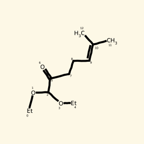 CCOC(OCC)C(=O)CCC=C(C)C